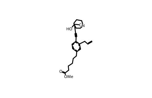 C=CCc1cc(CCCCCC(=O)OC)ccc1C#CC1(O)CN2CCC1CC2